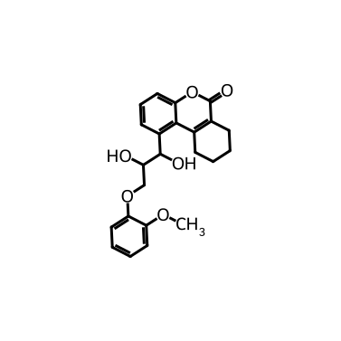 COc1ccccc1OCC(O)C(O)c1cccc2oc(=O)c3c(c12)CCCC3